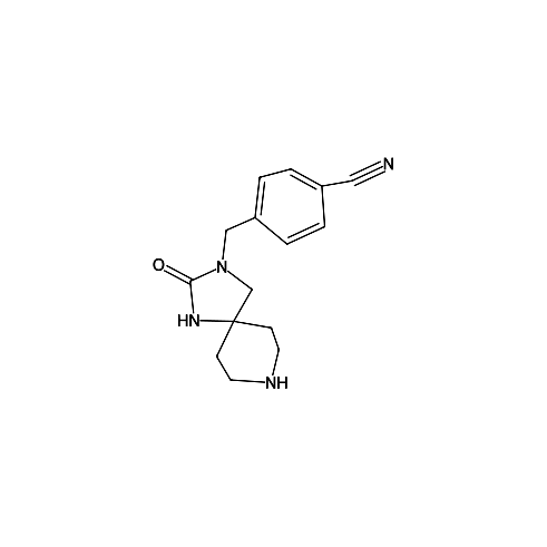 N#Cc1ccc(CN2CC3(CCNCC3)NC2=O)cc1